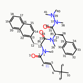 CN(C(=O)/C=C/CC(C)(C)C)[C@H](Cc1ccc2ccccc2c1)C(=O)N(C)[C@H](Cc1ccccc1)C(=O)N(C)N(C)C